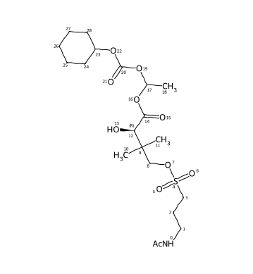 CC(=O)NCCCS(=O)(=O)OCC(C)(C)[C@@H](O)C(=O)OC(C)OC(=O)OC1CCCCC1